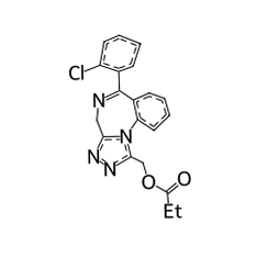 CCC(=O)OCc1nnc2n1-c1ccccc1C(c1ccccc1Cl)=NC2